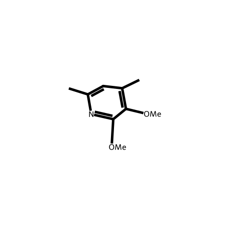 COc1nc(C)cc(C)c1OC